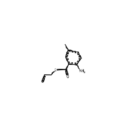 C=CCOC(=O)c1cc(C)ccc1N